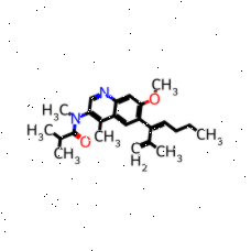 C=C(C)/C(=C\CCC)c1cc2c(C)c(N(C)C(=O)C(C)C)cnc2cc1OC